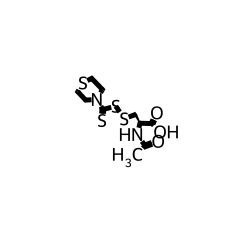 CC(=O)N[C@@H](CSSC(=S)N1CCSCC1)C(=O)O